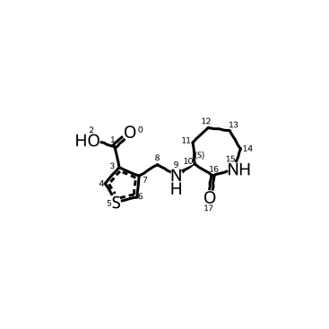 O=C(O)c1cscc1CN[C@H]1CCCCNC1=O